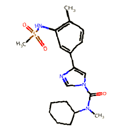 Cc1ccc(-c2cn(C(=O)N(C)C3CCCCC3)cn2)cc1NS(C)(=O)=O